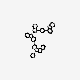 C1=Cc2sc3c(-c4ccc(-c5nc(-n6c7ccccc7c7cc(C8=CC9c%10c(ccc%11ccccc%10%11)N(c%10ccccc%10)C9C=C8)ccc76)nc6c5=CCCC=6)cc4)cccc3c2CC1